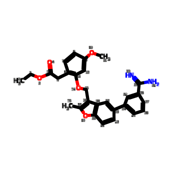 CCOC(=O)Cc1ccc(OC)cc1OCc1c(C)oc2ccc(-c3cccc(C(=N)N)c3)cc12